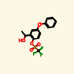 CC(O)c1cc(Oc2ccccc2)ccc1OS(=O)(=O)C(F)(F)F